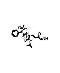 CC(C)OC(=O)[C@H](CCC(=O)C=N)NC(=O)[C@H](c1ccccc1)S(C)(=O)=O